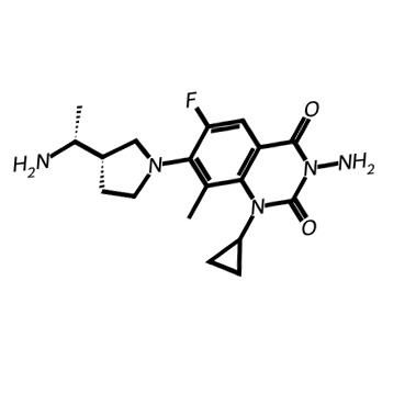 Cc1c(N2CC[C@H]([C@@H](C)N)C2)c(F)cc2c(=O)n(N)c(=O)n(C3CC3)c12